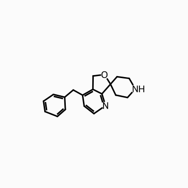 c1ccc(Cc2ccnc3c2COC32CCNCC2)cc1